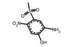 CS(=O)(=O)c1cc(N)c(O)cc1[N+](=O)[O-]